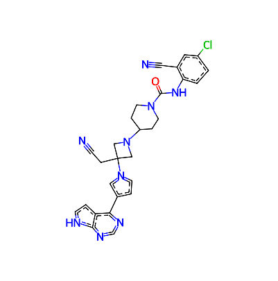 N#CCC1(n2ccc(-c3ncnc4[nH]ccc34)c2)CN(C2CCN(C(=O)Nc3ccc(Cl)cc3C#N)CC2)C1